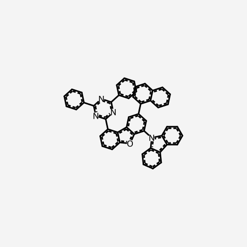 c1ccc(-c2nc(-c3ccccc3)nc(-c3cccc4oc5c(-n6c7ccccc7c7ccccc76)cc(-c6cccc7ccccc67)cc5c34)n2)cc1